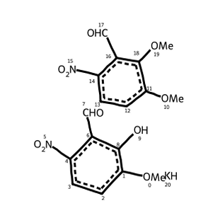 COc1ccc([N+](=O)[O-])c(C=O)c1O.COc1ccc([N+](=O)[O-])c(C=O)c1OC.[KH]